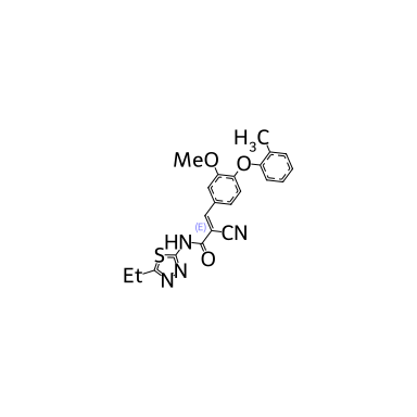 CCc1nnc(NC(=O)/C(C#N)=C/c2ccc(Oc3ccccc3C)c(OC)c2)s1